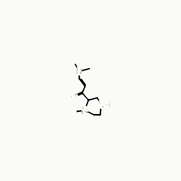 CN(C)/C=C/C(=O)C1CNCCN1C